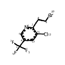 FC(F)(F)c1cnc(CCBr)c(Cl)c1